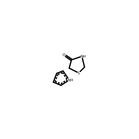 O=C1CSCN1.c1cc[nH]c1